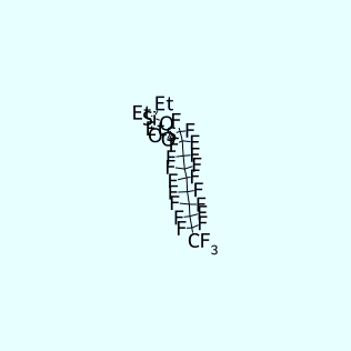 CC[Si](CC)(CC)OS(=O)(=O)C(F)(F)C(F)(F)C(F)(F)C(F)(F)C(F)(F)C(F)(F)C(F)(F)C(F)(F)C(F)(F)C(F)(F)F